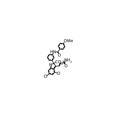 COc1ccc(C(=O)Nc2cccc(C3(C(=O)O)N=c4cc(Cl)cc(Cl)c4=C3C=CC(N)=O)c2)cc1